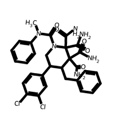 CN(C(=O)N1CC(c2ccc(Cl)c(Cl)c2)C(Cc2ccccc2)C(C(N)=O)(C(N)=O)C1(C(N)=O)C(N)=O)c1ccccc1